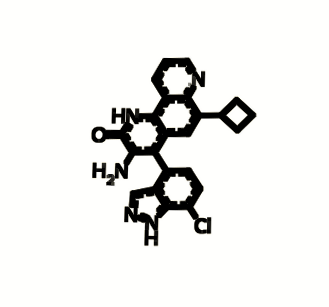 Nc1c(-c2ccc(Cl)c3[nH]ncc23)c2cc(C3CCC3)c3ncccc3c2[nH]c1=O